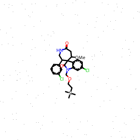 COC1CC(=O)NCC(c2cccc(Cl)c2)C12C(=O)N(COCC[Si](C)(C)C)c1cc(Cl)ccc12